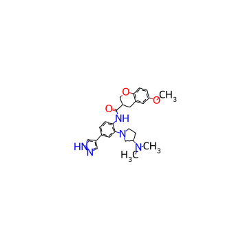 COc1ccc2c(c1)CC(C(=O)Nc1ccc(-c3cn[nH]c3)cc1N1CCC(N(C)C)C1)CO2